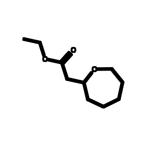 CCOC(=O)CC1CCCCCO1